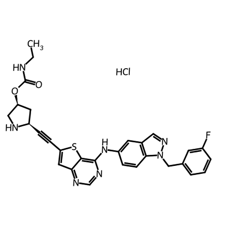 CCNC(=O)O[C@@H]1CN[C@H](C#Cc2cc3ncnc(Nc4ccc5c(cnn5Cc5cccc(F)c5)c4)c3s2)C1.Cl